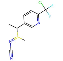 CC(c1ccc(C(F)(F)Cl)nc1)/S(C)=N/C#N